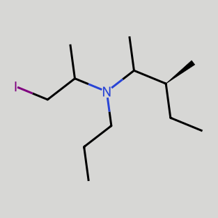 CCCN(C(C)CI)C(C)[C@@H](C)CC